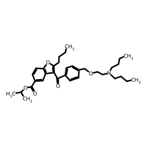 CCCCc1oc2ccc(C(=O)OC(C)C)cc2c1C(=O)c1ccc(COCCN(CCCC)CCCC)cc1